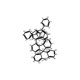 c1ccc(-c2cc(-c3ccccc3)nc(-c3cccc4c3-c3c(-c5cccc6cnccc56)cccc3C43c4ccccc4Oc4ccccc43)n2)cc1